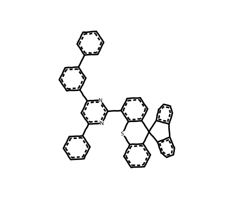 c1ccc(-c2cccc(-c3cc(-c4ccccc4)nc(-c4cccc5c4Sc4ccccc4C54c5ccccc5-c5ccccc54)n3)c2)cc1